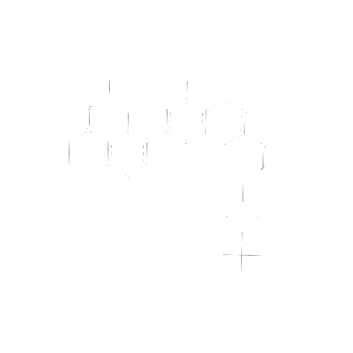 Cc1c(-c2cc3cc(NC(=O)OC4CC(C(C)(C)O)C4)ncc3c(C)c2F)cnc2c1N(C(=O)OC(C)(C)C)CCO2